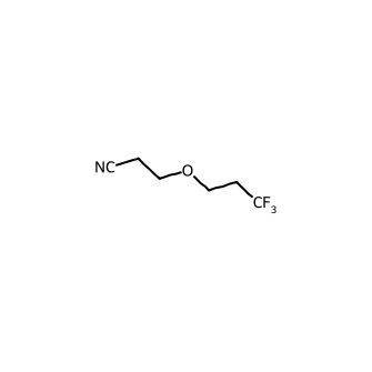 N#CCCOCCC(F)(F)F